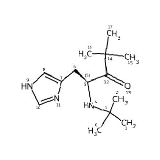 CC(C)(C)N[C@@H](Cc1c[nH]cn1)C(=O)C(C)(C)C